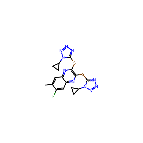 Cc1cc2nc(Sc3nnnn3C3CC3)c(Sc3nnnn3C3CC3)nc2cc1F